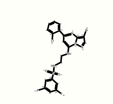 O=S(=O)(NCCNc1cc(-c2ccccc2Cl)nc2c(Br)cnn12)c1cc(F)cc(F)c1